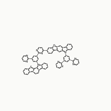 c1cnc(-c2cc(-c3ncccn3)cc(-n3c4ccccc4c4cc5oc6cc(-c7ccnc(-c8cc(-c9ncccn9)cc(-n9c%10ccccc%10c%10ccc%11c%12ccccc%12sc%11c%109)c8)n7)ccc6c5cc43)c2)nc1